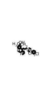 C[C@@H]1CN(CCC=C2c3cc(C(C)(C)O)ccc3OCc3ncccc32)CCN1c1ccc(Cl)cc1